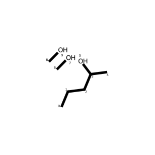 CCCC(C)O.CO.CO